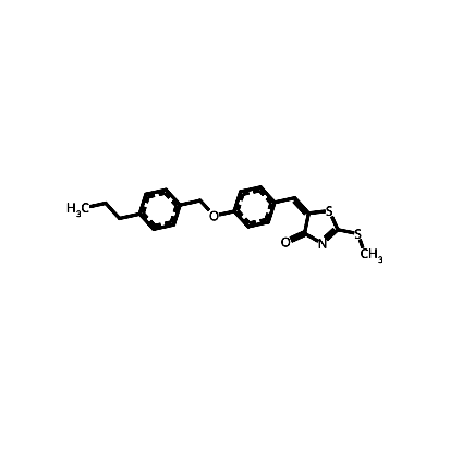 CCCc1ccc(COc2ccc(C=C3SC(SC)=NC3=O)cc2)cc1